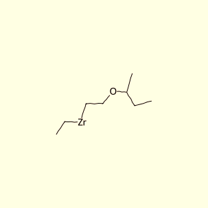 C[CH2][Zr][CH2]COC(C)CC